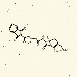 CC(=O)OCC1=C(C(=O)O)N2C(=O)[C@@H](NC(=O)CCCC(C(=O)O)N3C(=O)c4ccccc4C3=O)[C@H]2SC1